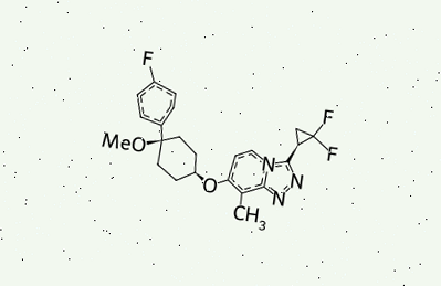 CO[C@]1(c2ccc(F)cc2)CC[C@H](Oc2ccn3c([C@H]4CC4(F)F)nnc3c2C)CC1